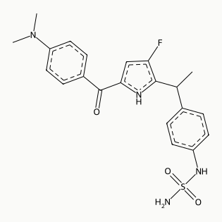 CC(c1ccc(NS(N)(=O)=O)cc1)c1[nH]c(C(=O)c2ccc(N(C)C)cc2)cc1F